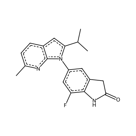 Cc1ccc2cc(C(C)C)n(-c3cc(F)c4c(c3)CC(=O)N4)c2n1